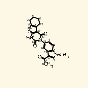 CC(=O)c1cn(C)c2ccc(-n3c(=O)[nH]c4sc5c(c4c3=O)CCCC5)cc12